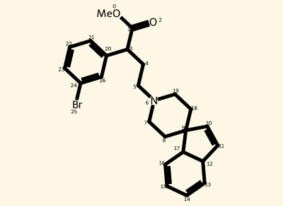 COC(=O)C(CCN1CCC2(C=CC3C=CC=CC32)CC1)c1cccc(Br)c1